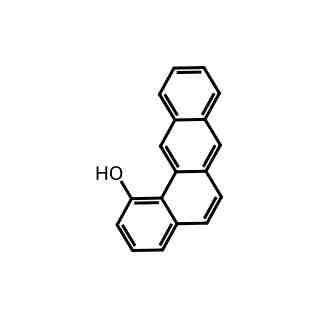 Oc1cccc2ccc3cc4ccccc4cc3c12